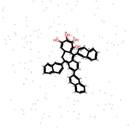 OC1=CC2CC(c3ccc4ccccc4c3)=c3cc(-c4ccc5ccccc5c4)ccc3=C(c3ccc4ccccc4c3)C2=C(O)C(O)=C1O